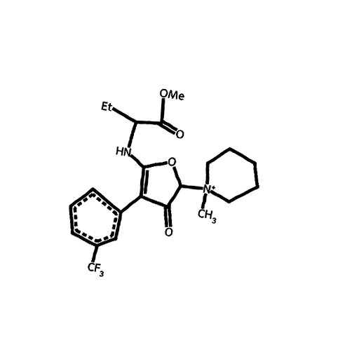 CCC(NC1=C(c2cccc(C(F)(F)F)c2)C(=O)C([N+]2(C)CCCCC2)O1)C(=O)OC